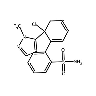 NS(=O)(=O)c1ccccc1C1=CC=[C]CC1(Cl)c1ccnn1C(F)(F)F